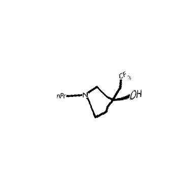 CCCN1CCC(O)(C(F)(F)F)C1